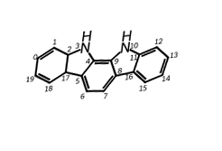 C1=CC2Nc3c(ccc4c3[nH]c3ccccc34)C2C=C1